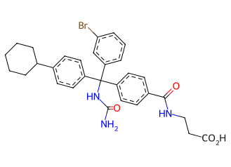 NC(=O)NC(c1ccc(C(=O)NCCC(=O)O)cc1)(c1ccc(C2CCCCC2)cc1)c1cccc(Br)c1